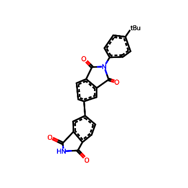 CC(C)(C)c1ccc(N2C(=O)c3ccc(-c4ccc5c(c4)C(=O)NC5=O)cc3C2=O)cc1